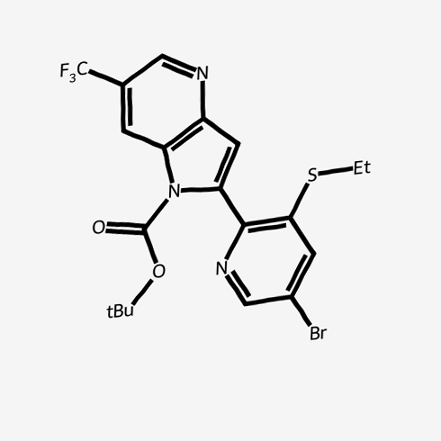 CCSc1cc(Br)cnc1-c1cc2ncc(C(F)(F)F)cc2n1C(=O)OC(C)(C)C